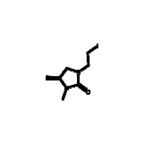 CN1C(=O)N(CCI)CC1=S